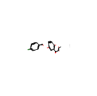 O=C(O)c1oc2ccc(OCc3ccc(F)cc3)cc2c(=O)c1O